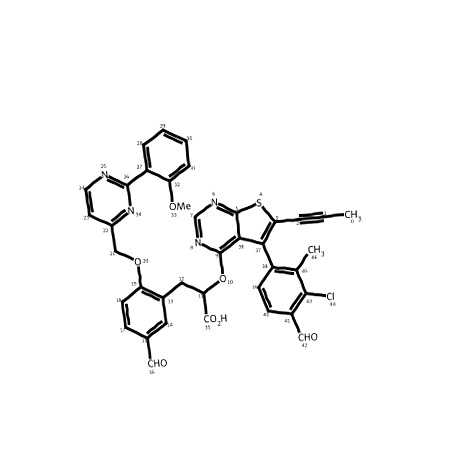 CC#Cc1sc2ncnc(OC(Cc3cc(C=O)ccc3OCc3ccnc(-c4ccccc4OC)n3)C(=O)O)c2c1-c1ccc(C=O)c(Cl)c1C